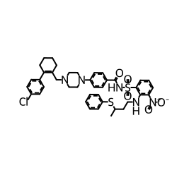 CC(CCNc1c([N+](=O)[O-])cccc1S(=O)(=O)NC(=O)c1ccc(N2CCN(CC3=C(c4ccc(Cl)cc4)CCCC3)CC2)cc1)Sc1ccccc1